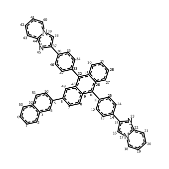 c1ccc2cc(-c3ccc4c(-c5ccc(-c6cn7ccccc7n6)cc5)c5ccccc5c(-c5ccc(-c6cn7ccccc7n6)cc5)c4c3)ccc2c1